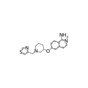 Nc1nccc2cc(OC3CCCN(Cc4cscn4)C3)ccc12